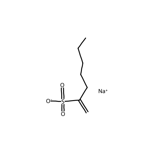 C=C(CCCCC)S(=O)(=O)[O-].[Na+]